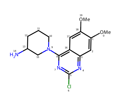 COc1cc2nc(Cl)nc(N3CCCC(N)C3)c2cc1OC